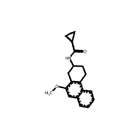 COc1cc2ccccc2c2c1CC(NC(=O)C1CC1)CC2